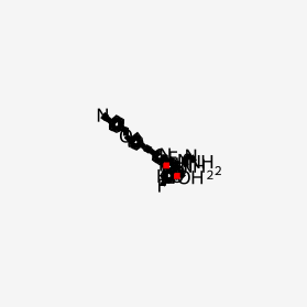 N#Cc1ccc(COc2ccc(C#Cc3ccc(C(F)(F)C(CN(N)/C=N\N)(OP(O)O)c4ccc(F)cc4F)nc3)cc2)cc1